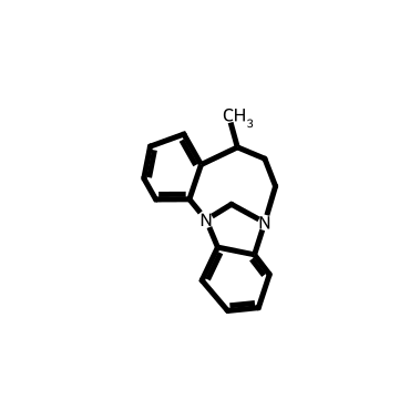 CC1CCN2CN(c3ccccc31)c1ccccc12